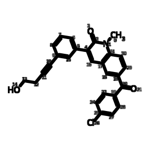 Cn1c(=O)c(-c2cccc(C#CCCO)c2)cc2cc(C(=O)c3ccc(Cl)cc3)ccc21